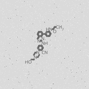 C=CC(=O)Nc1cccc(-c2cccc3cnc(Nc4ccc(N5CCN(CCO)CC5)c(C#N)c4)nc23)c1